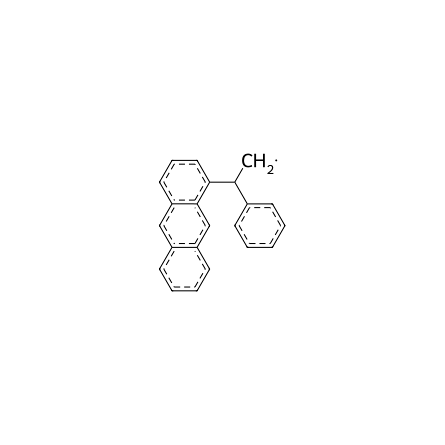 [CH2]C(c1ccccc1)c1cccc2cc3ccccc3cc12